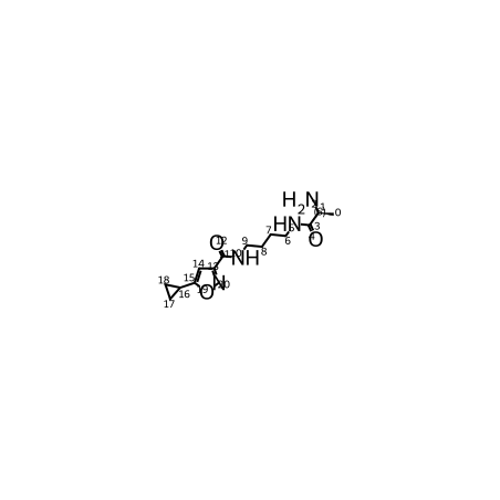 C[C@H](N)C(=O)NCCCCNC(=O)c1cc(C2CC2)on1